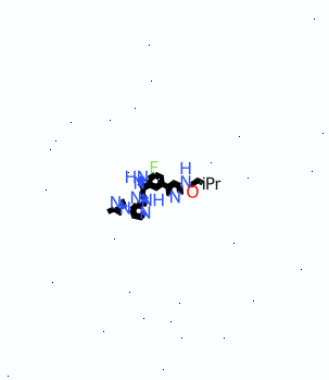 Cc1cn(-c2ccnc3[nH]c(-c4n[nH]c5c(F)cc(-c6cncc(NC(=O)CC(C)C)c6)cc45)nc23)cn1